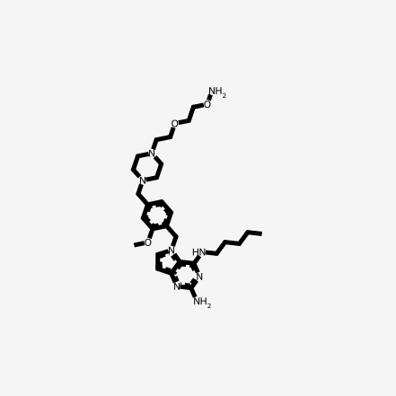 CCCCCNc1nc(N)nc2ccn(Cc3ccc(CN4CCN(CCOCCON)CC4)cc3OC)c12